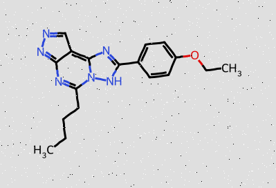 CCCCc1nc2nncc-2c2nc(-c3ccc(OCC)cc3)[nH]n12